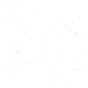 [N-]=[N+]=NCC=C=Cc1ccc2occ(C3CCC(=O)NC3=O)c2c1